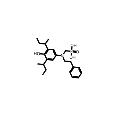 CCC(C)c1cc(N(CCc2ccccc2)CP(=O)(O)O)cc(C(C)CC)c1O